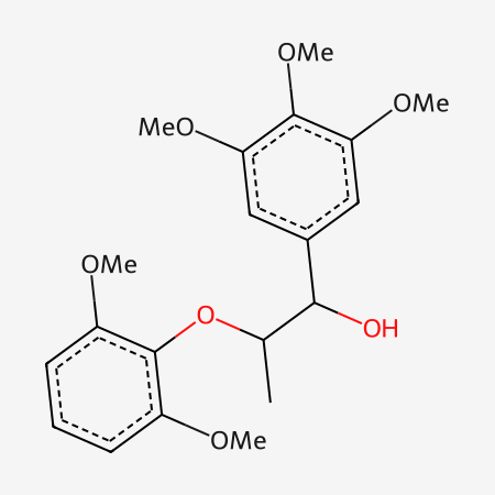 COc1cc(C(O)C(C)Oc2c(OC)cccc2OC)cc(OC)c1OC